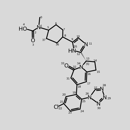 CN(C(=O)O)C1CCC(c2cnc([C@@H]3CCc4cc(-c5cc(Cl)ccc5-n5cnnn5)cc(=O)n43)[nH]2)CC1